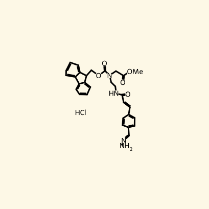 COC(=O)CN(CCNC(=O)C=Cc1ccc(C=NN)cc1)C(=O)OCC1c2ccccc2-c2ccccc21.Cl